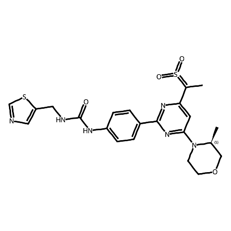 CC(c1cc(N2CCOC[C@@H]2C)nc(-c2ccc(NC(=O)NCc3cncs3)cc2)n1)=S(=O)=O